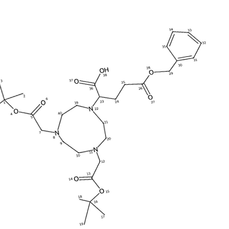 CC(C)(C)OC(=O)CN1CCN(CC(=O)OC(C)(C)C)CCN(C(CCC(=O)OCc2ccccc2)C(=O)O)CC1